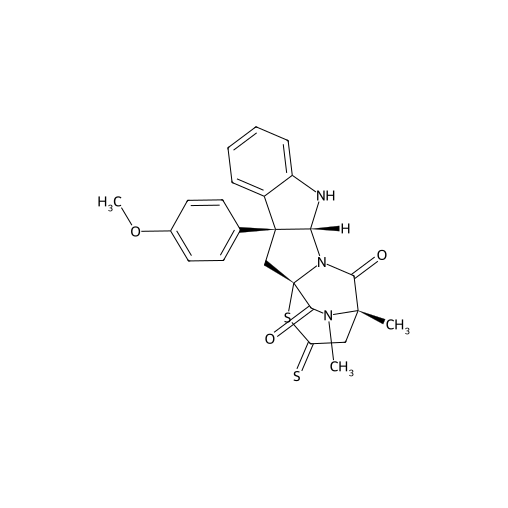 COc1ccc([C@]23C[C@@]45SC(=S)C[C@@](C)(C(=O)N4[C@H]2Nc2ccccc23)N(C)C5=O)cc1